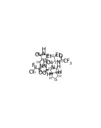 CCC(CC)C(NC(=O)C(F)(F)F)C(=O)N1C[C@@H]2CCC[C@@H]2[C@H]1C(=O)NN(C[C@@H]1CCNC1=O)C(=O)C(F)Cl